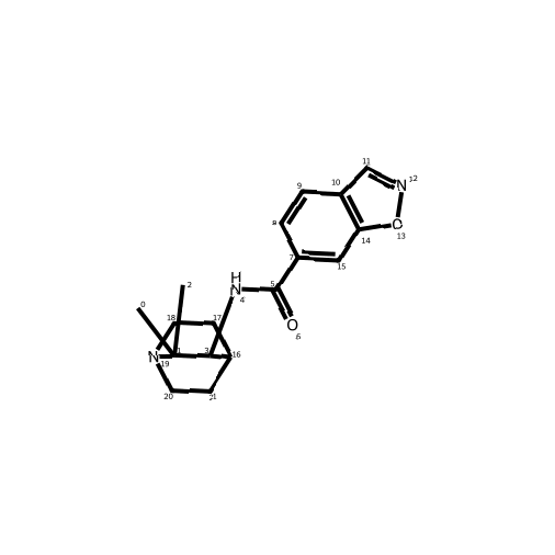 CC1(C)C(NC(=O)c2ccc3cnoc3c2)C2CCN1CC2